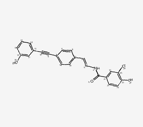 O=C(N/N=C/c1ccc(C#Cc2cccc(O)c2)cc1)c1ccc(O)c(Cl)c1